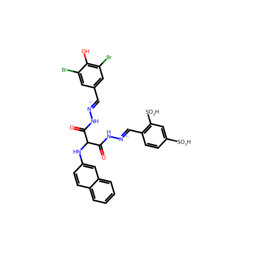 O=C(N/N=C/c1cc(Br)c(O)c(Br)c1)C(Nc1ccc2ccccc2c1)C(=O)N/N=C/c1ccc(S(=O)(=O)O)cc1S(=O)(=O)O